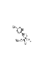 COC(=O)C1(C(F)(F)F)CCN(c2ncc(Br)cn2)C1